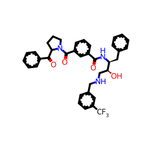 O=C(N[C@@H](Cc1ccccc1)[C@@H](O)CNCc1cccc(C(F)(F)F)c1)c1cccc(C(=O)N2CCCC2C(=O)c2ccccc2)c1